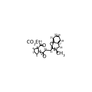 CCOC(=O)C(=O)[C@@H]1CCCN1C(=O)CCC(=O)N(C)Cc1ccccc1